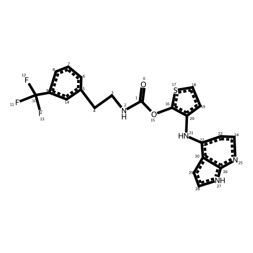 O=C(NCCc1cccc(C(F)(F)F)c1)Oc1sccc1Nc1ccnc2[nH]ccc12